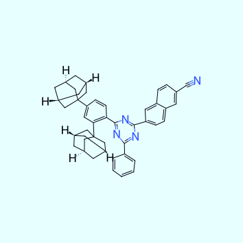 N#Cc1ccc2cc(-c3nc(-c4ccccc4)nc(-c4ccc(C56C[C@H]7C[C@@H](C5)C[C@@H](C6)C7)cc4C45C[C@H]6C[C@@H](C4)C[C@@H](C5)C6)n3)ccc2c1